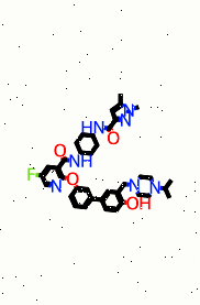 Cc1cc(C(=O)N[C@H]2CC[C@@H](NC(=O)c3cc(F)cnc3Oc3cccc(-c4ccc(O)c(CN5CCN(C(C)C)CC5)c4)c3)CC2)nn1C